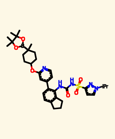 CC(C)n1ccc(S(=O)(=O)NC(=O)Nc2c(-c3ccnc(OC4CCC(C)(B5OC(C)(C)C(C)(C)O5)CC4)c3)ccc3c2CCC3)n1